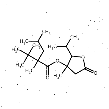 CC(C)CC(C)(C(=O)OC1(C)CC(=O)OC1C(C)C)C(C)(C)C